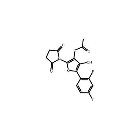 CC(=O)Oc1c(N2C(=O)CCC2=O)oc(-c2ccc(F)cc2F)c1O